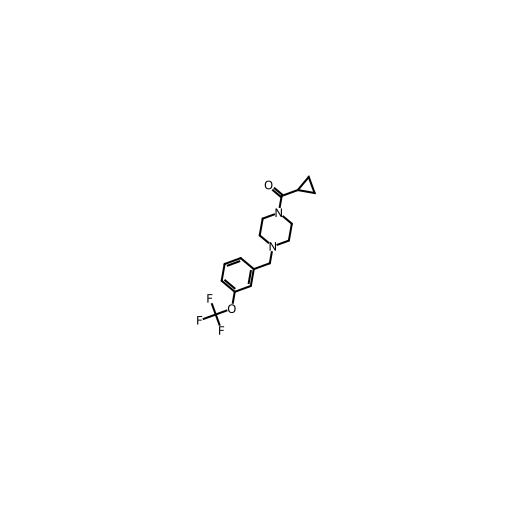 O=C(C1CC1)N1CCN(Cc2cccc(OC(F)(F)F)c2)CC1